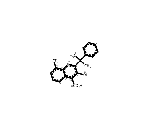 CC(C)(c1ccccc1)c1nc2c(C(F)(F)F)cccc2c(C(=O)O)c1O